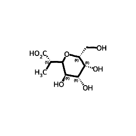 C[C@H](C(=O)O)C1O[C@H](CO)[C@H](O)[C@H](O)[C@H]1O